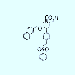 O=C(O)N1CCC(c2ccc(CCS(=O)(=O)c3ccccc3)cc2)C(OCc2ccc3ccccc3c2)C1